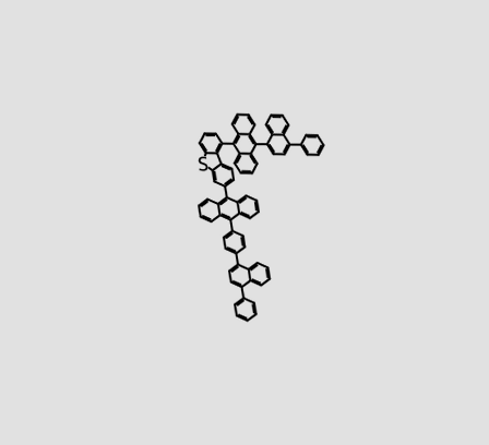 c1ccc(-c2ccc(-c3ccc(-c4c5ccccc5c(-c5ccc6c(c5)sc5cccc(-c7c8ccccc8c(-c8ccc(-c9ccccc9)c9ccccc89)c8ccccc78)c56)c5ccccc45)cc3)c3ccccc23)cc1